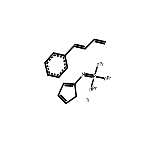 C=CC=Cc1ccccc1.CCCP(CCC)(CCC)=NC1=CC=CC1.[Ti]